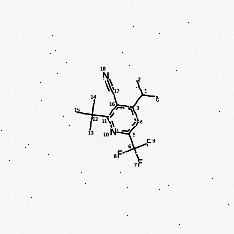 CC(C)c1cc(C(F)(F)F)nc(C(C)(C)C)c1C#N